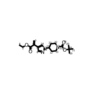 C=C(C(=O)OCC)c1cnn(C2CCN(C(=O)OC(C)(C)C)CC2)c1